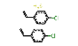 C=Cc1ccc(Cl)cc1.C=Cc1ccc(Cl)cc1.S